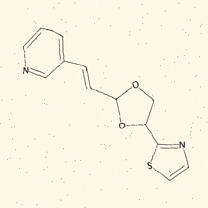 C(=CC1OCC(c2nccs2)O1)c1cccnc1